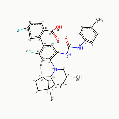 Cc1ccc(NC(=O)Nc2cc(-c3cc(F)ccc3C(=O)O)c(F)cc2N(CC(C)C)C2C[C@H]3CC[C@@H]2C3)cc1